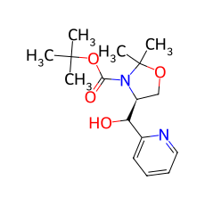 CC(C)(C)OC(=O)N1[C@H](C(O)c2ccccn2)COC1(C)C